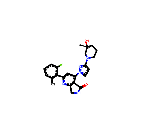 C[C@@]1(O)CCCN(c2ccn(-c3cc(-c4c(F)cccc4C#N)nc4c3C(=O)NC4)n2)C1